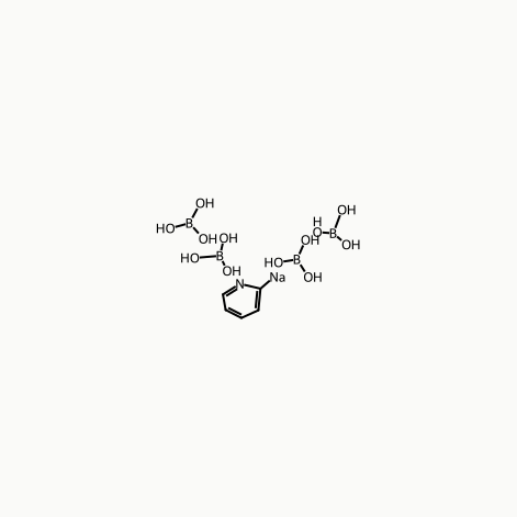 OB(O)O.OB(O)O.OB(O)O.OB(O)O.[Na][c]1ccccn1